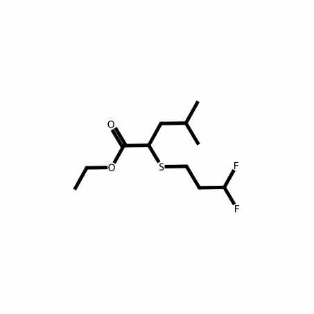 CCOC(=O)C(CC(C)C)SCCC(F)F